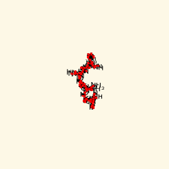 CC(CN(C)c1cccc2c(C3Cc4nc(OC[C@@H]5CC(c6ccc([C@@H]7Cc8nc(OC[C@@H]9CC(c%10cc([C@@H]%11Cc%12nc(OC[C@@H]%13CCCN%13C)nc(N%13CCN[C@H](CC#N)C%13)c%12CO%11)c%11c(Cl)cccc%11c%10)CN9C)nc(N9CCN[C@@H](CC(N)=O)C9)c8CO7)c7c(Cl)cccc67)CN5C)nc(N5CCN[C@@H](CC#N)C5)c4CO3)cncc12)Oc1nc2c(c(N3CCN[C@@H](CC#N)C3)n1)CO[C@H](c1cccc3cccc(Cl)c13)C2